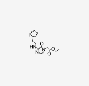 CCOC(=O)Cn1ccnc(NCCc2ccccn2)c1=O